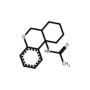 CC(=O)NC12CCCCC1COc1ccccc12